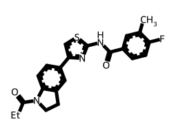 CCC(=O)N1CCc2cc(-c3csc(NC(=O)c4ccc(F)c(C)c4)n3)ccc21